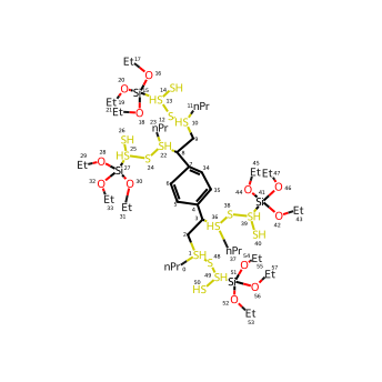 CCC[SH](CC(c1ccc(C(C[SH](CCC)S[SH](S)[Si](OCC)(OCC)OCC)[SH](CCC)S[SH](S)[Si](OCC)(OCC)OCC)cc1)[SH](CCC)S[SH](S)[Si](OCC)(OCC)OCC)S[SH](S)[Si](OCC)(OCC)OCC